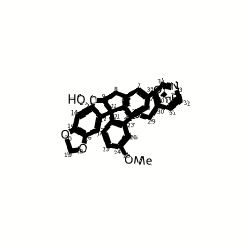 CCCOc1ccc2c(c1)CC(C(=O)O)C2(c1ccc2c(c1)OCO2)c1ccc(OC)cc1OCc1ccncc1